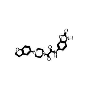 O=C(Nc1ccc2[nH]c(=O)oc2c1)C(=O)N1CCN(c2ccc3c(c2)CCO3)CC1